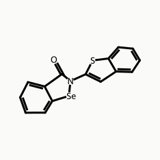 O=c1c2ccccc2[se]n1-c1cc2ccccc2s1